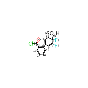 CC1(F)C(F)=CC=CC1S(=O)(=O)O.O=C(Cl)c1ccccc1